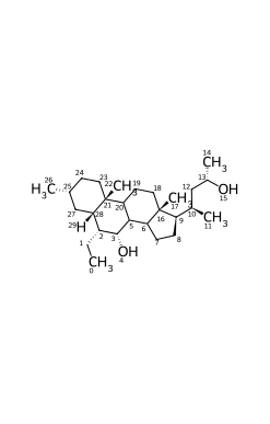 CC[C@H]1[C@@H](O)C2C3CC[C@H]([C@H](C)C[C@H](C)O)[C@@]3(C)CCC2[C@@]2(C)CC[C@@H](C)C[C@@H]12